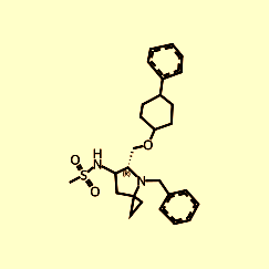 CS(=O)(=O)NC1CC2(CC2)N(Cc2ccccc2)[C@H]1COC1CCC(c2ccccc2)CC1